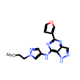 COCCn1cc(Nc2nc(-c3ccoc3)nc3cn[nH]c23)cn1